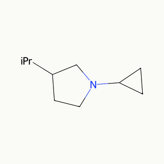 CC(C)C1CCN(C2CC2)C1